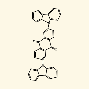 O=C1c2ccc(-n3c4ccccc4c4ccccc43)cc2C(=O)c2ccc(-n3c4ccccc4c4ccccc43)cc21